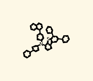 c1ccc(-c2ccc(N(c3ccc(-c4cccc5ccccc45)cc3)c3cccc4c3sc3c(-c5ccccc5)cc(-c5ccccc5)cc34)cc2)cc1